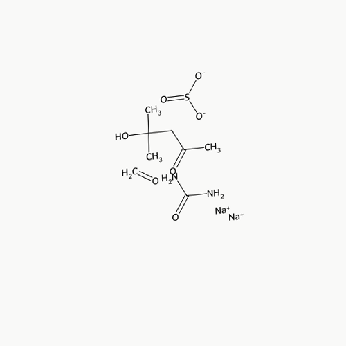 C=O.CC(=O)CC(C)(C)O.NC(N)=O.O=S([O-])[O-].[Na+].[Na+]